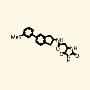 CSc1cccc(-c2ccc3c(c2)CC(NC(=O)CC2NC(=O)NC2=O)C3)c1